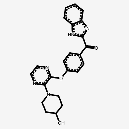 O=C(c1ccc(Oc2nccnc2N2CCC(O)CC2)cc1)c1nc2ccccc2[nH]1